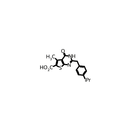 Cc1c(C(=O)O)sc2nc(Cc3ccc(C(C)C)cc3)[nH]c(=O)c12